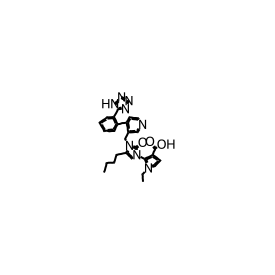 CCCCc1cn(-c2c(C(=O)O)ccn2CC)c(=O)n1Cc1cnccc1-c1ccccc1-c1nnn[nH]1